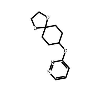 c1cnnc(OC2CCC3(CC2)OCCO3)c1